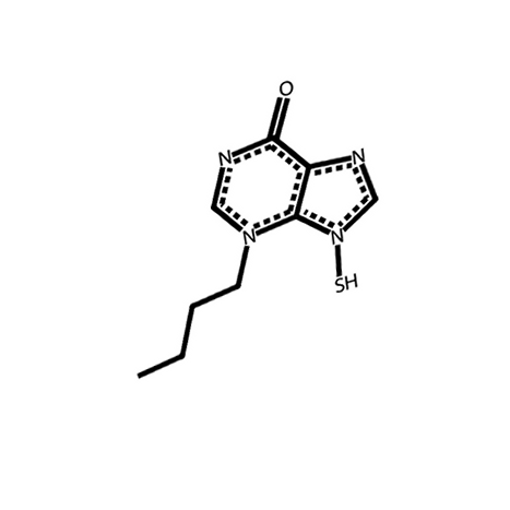 CCCCn1cnc(=O)c2ncn(S)c21